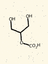 O=C(O)OC(CO)CO